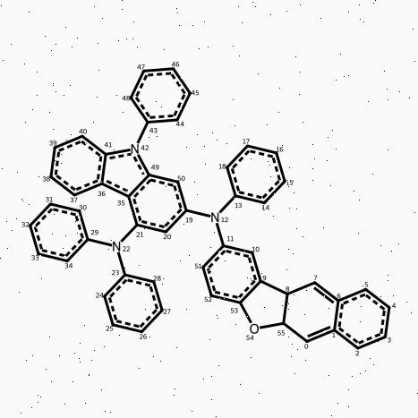 C1=c2ccccc2=CC2c3cc(N(c4ccccc4)c4cc(N(c5ccccc5)c5ccccc5)c5c6ccccc6n(-c6ccccc6)c5c4)ccc3OC12